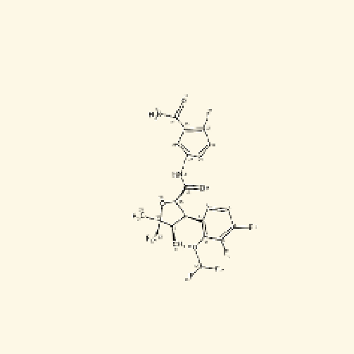 C[C@@H]1[C@H](c2ccc(F)c(F)c2OC(F)F)[C@H](C(=O)Nc2ccc(F)c(C(N)=O)c2)O[C@]1(C)C(F)(F)F